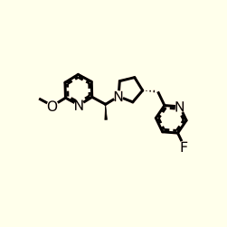 COc1cccc([C@H](C)N2CC[C@H](Cc3ccc(F)cn3)C2)n1